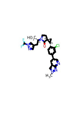 Cn1cc2cc(-c3ccc([C@H]4C[C@@]45CCN([C@H](Cc4cnn(C(F)F)c4)C(=O)O)C5=O)c(Cl)c3)cnc2n1